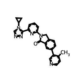 Cc1ccncc1-c1ccc2c(c1)C(=O)N(c1cccc(-c3nncn3C3CC3)n1)C2